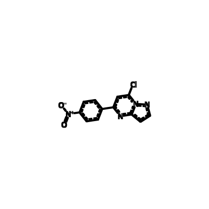 O=[N+]([O-])c1ccc(-c2cc(Cl)n3nccc3n2)cc1